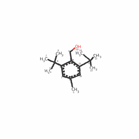 Cc1cc(C(C)(C)C)c(CO)c(C(C)(C)C)c1